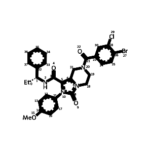 CC[C@@H](NC(=O)c1c2n(c(=O)n1-c1ccc(OC)cc1)CCN(C(=O)c1ccc(Br)c(Cl)c1)C2)c1ccccc1